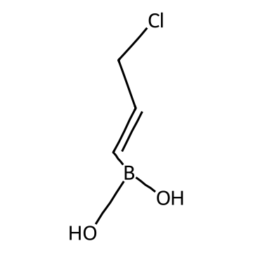 OB(O)/C=C/CCl